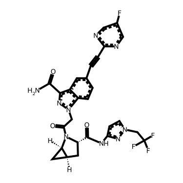 NC(=O)c1nn(CC(=O)N2[C@@H]3C[C@@H]3C[C@H]2C(=O)Nc2ccn(CC(F)(F)F)n2)c2ccc(C#Cc3ncc(F)cn3)cc12